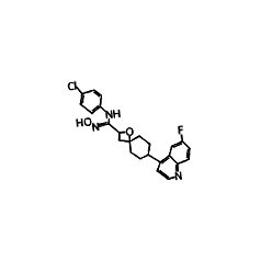 O/N=C(\Nc1ccc(Cl)cc1)C1CC2(CCC(c3ccnc4ccc(F)cc34)CC2)O1